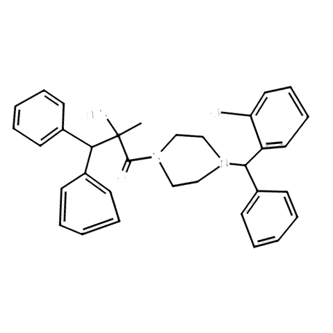 CC(N)(C(=O)N1CCN(C(c2ccccc2)c2ccccc2Cl)CC1)C(c1ccccc1)c1ccccc1